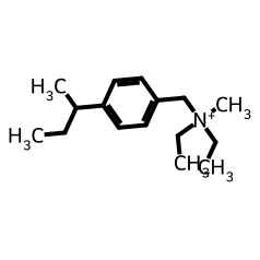 CCC(C)c1ccc(C[N+](C)(CC)CC)cc1